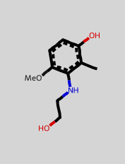 COc1ccc(O)c(C)c1NCCO